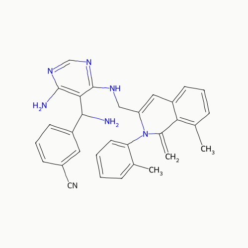 C=C1c2c(C)cccc2C=C(CNc2ncnc(N)c2C(N)c2cccc(C#N)c2)N1c1ccccc1C